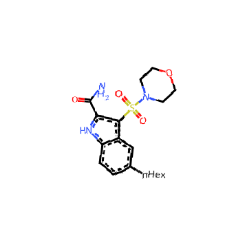 CCCCCCc1ccc2[nH]c(C(N)=O)c(S(=O)(=O)N3CCOCC3)c2c1